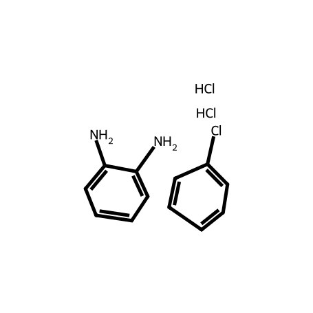 Cl.Cl.Clc1ccccc1.Nc1ccccc1N